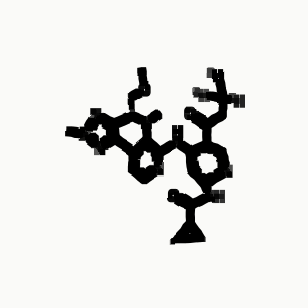 [2H]C([2H])([2H])CC(=O)c1cnc(NC(=O)C2CC2)cc1Nc1nccc2c1N(C)[C@@H](COC)c1nn(C)nc1-2